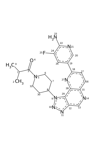 CC(C)C(=O)N1CCC(n2nnc3cnc4ccc(-c5cnc(N)c(F)c5)nc4c32)CC1